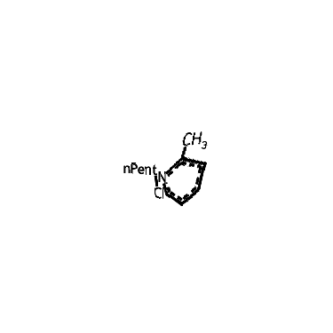 CCCCCCl.Cc1ccccn1